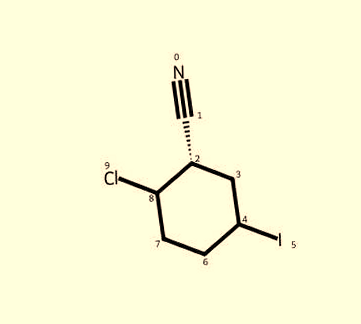 N#C[C@@H]1CC(I)CCC1Cl